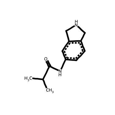 CC(C)C(=O)Nc1ccc2c(c1)CNC2